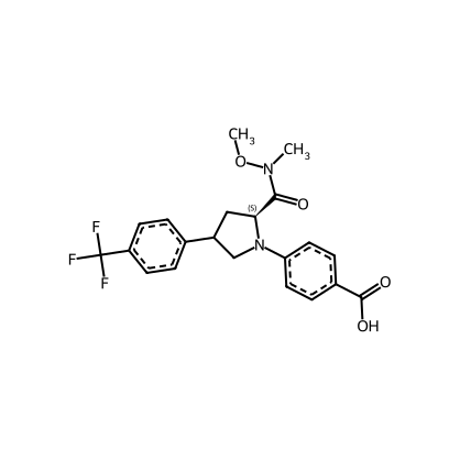 CON(C)C(=O)[C@@H]1CC(c2ccc(C(F)(F)F)cc2)CN1c1ccc(C(=O)O)cc1